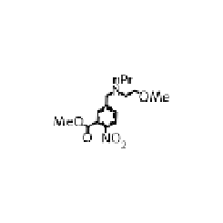 CCCN(CCOC)Cc1ccc([N+](=O)[O-])c(C(=O)OC)c1